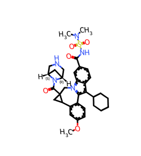 COc1ccc2c(c1)C1CC1(C(=O)N1[C@@H]3CNC[C@H]1C3)Cn1c-2c(C2CCCCC2)c2ccc(C(=O)NS(=O)(=O)N(C)C)cc21